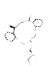 CCC(COC1COc2ccccc2C(=N)CCC(=N)c2ccccc2OC1)OC